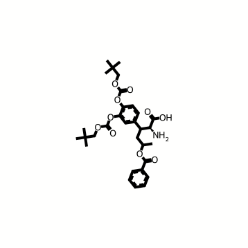 CC(CC(c1ccc(OC(=O)OCC(C)(C)C)c(OC(=O)OCC(C)(C)C)c1)[C@H](N)C(=O)O)OC(=O)c1ccccc1